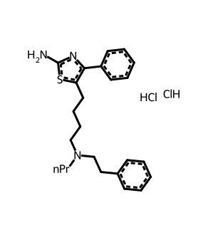 CCCN(CCCCc1sc(N)nc1-c1ccccc1)CCc1ccccc1.Cl.Cl